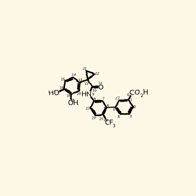 O=C(O)c1cccc(-c2cc(NC(=O)C3(c4ccc(O)c(O)c4)CC3)ccc2C(F)(F)F)c1